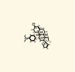 CN(C)c1ccc([C@H]2C[C@@]3(C)[C@@H](CC[C@@]34C=CCO4)[C@@H]3CCC4=CC(=O)CC[C@@H]4[C@H]32)cc1